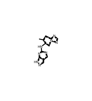 Cc1cc2ncnn2cc1Nc1ncc2cn[nH]c2n1